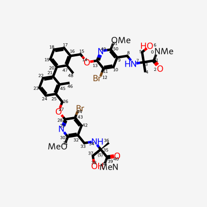 CNC(=O)C(C)(CO)NCc1cc(Br)c(OCc2cccc(-c3cccc(COc4nc(OC)c(CN[C@@](C)(CO)C(=O)NC)cc4Br)c3C)c2C)nc1OC